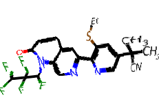 CCSc1cc(C(C)(C)C#N)cnc1-c1cc2ccc(=O)n(C(F)C(F)(F)C(F)F)c2cn1